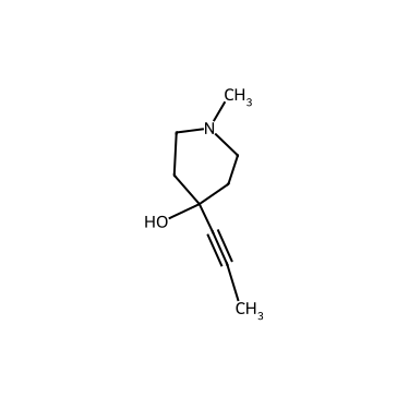 CC#CC1(O)CCN(C)CC1